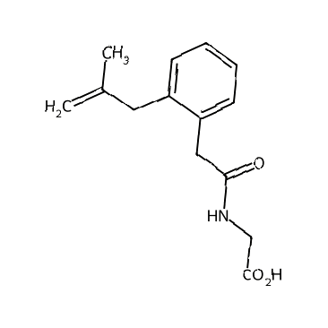 C=C(C)Cc1ccccc1CC(=O)NCC(=O)O